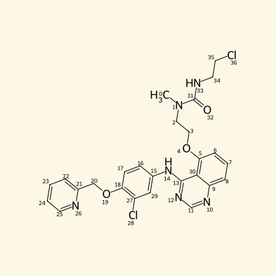 CN(CCOc1cccc2ncnc(Nc3ccc(OCc4ccccn4)c(Cl)c3)c12)C(=O)NCCCl